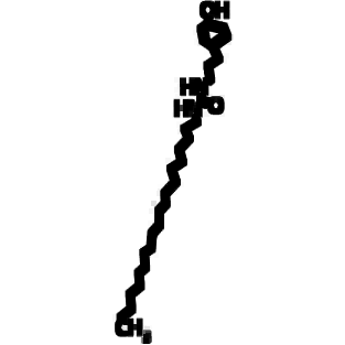 CCCCCCCCCCCCCCCCCCCCCNC(=O)NCCCc1ccc(O)cc1